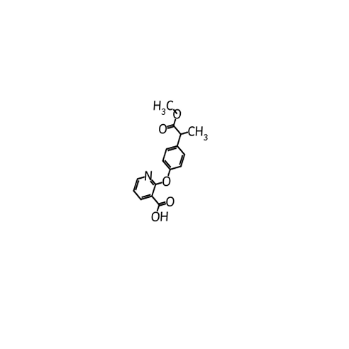 COC(=O)C(C)c1ccc(Oc2ncccc2C(=O)O)cc1